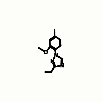 CCc1ncn(-c2ccc(C)cc2OC)n1